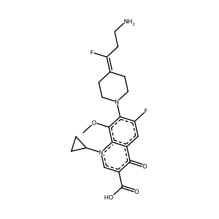 COc1c(N2CCC(=C(F)CCN)CC2)c(F)cc2c(=O)c(C(=O)O)cn(C3CC3)c12